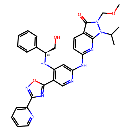 COCn1c(=O)c2ccc(Nc3cc(N[C@H](CO)c4ccccc4)c(-c4nc(-c5ccccn5)no4)cn3)nc2n1C(C)C